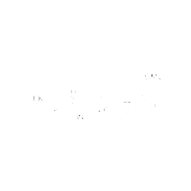 COC(=O)C12CCC(NC(=O)CN)(CC1)CC2